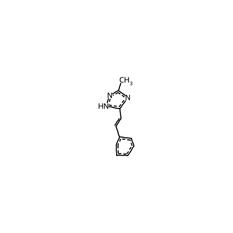 Cc1n[nH]c(C=Cc2ccccc2)n1